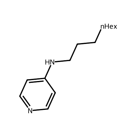 CCCCCCCCCNc1ccncc1